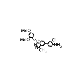 COc1ccc(CNc2nnc(C)c3cc(-c4ccc(N)c(Cl)c4)ccc23)c(OC)c1